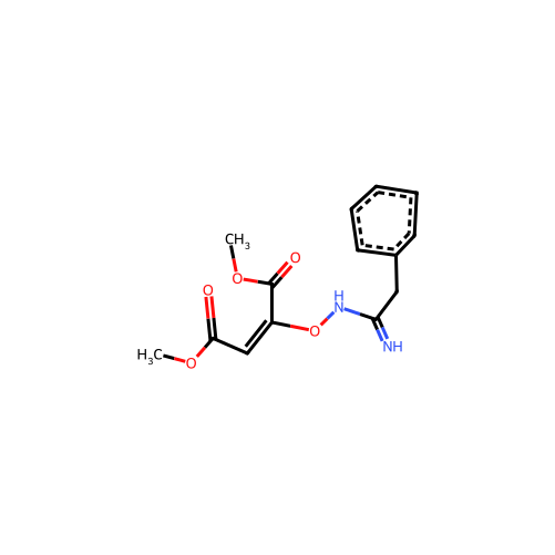 COC(=O)C=C(ONC(=N)Cc1ccccc1)C(=O)OC